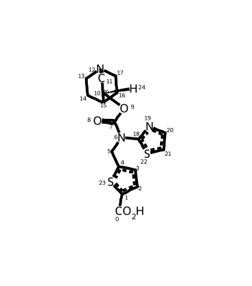 O=C(O)c1ccc(CN(C(=O)O[C@H]2CN3CCC2CC3)c2nccs2)s1